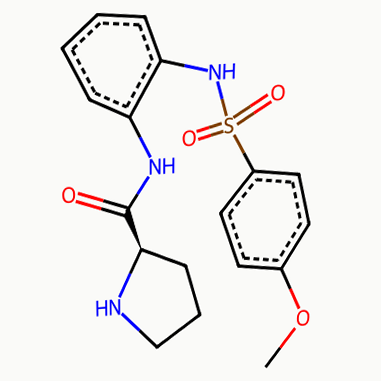 COc1ccc(S(=O)(=O)Nc2ccccc2NC(=O)[C@H]2CCCN2)cc1